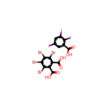 O=C(O)c1c(Br)c(Br)c(Br)c(Br)c1C(=O)O.O=C(O)c1cc(I)cc(I)c1I